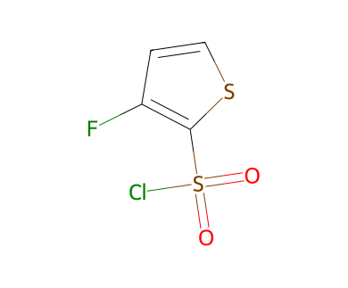 O=S(=O)(Cl)c1sccc1F